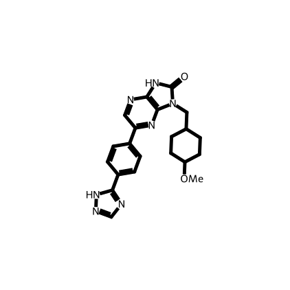 COC1CCC(Cn2c(=O)[nH]c3ncc(-c4ccc(-c5ncn[nH]5)cc4)nc32)CC1